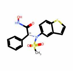 CS(=O)(=O)N(c1ccc2sccc2c1)[C@@H](C(=O)NO)c1ccccc1